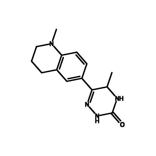 CC1NC(=O)NN=C1c1ccc2c(c1)CCCN2C